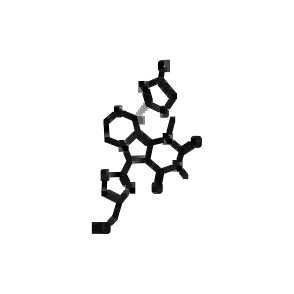 Cn1c(=O)c2c(-c3nc(CO)cs3)n3c(c2n(C)c1=O)[C@@H](c1nc(Cl)cs1)SCC3